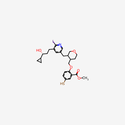 COC(=O)c1cc(S)ccc1OCC1CCOCC1Cc1cnc(I)c(CC[C@@H](O)C2CC2)c1